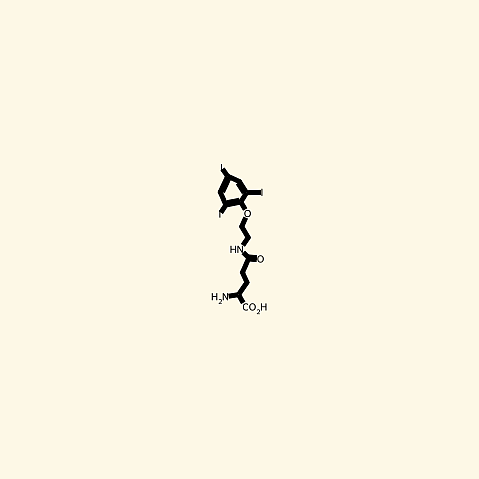 NC(CCC(=O)NCCOc1c(I)cc(I)cc1I)C(=O)O